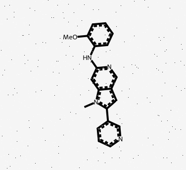 COc1ccccc1Nc1cc2c(cn1)cc(-c1cccnc1)n2C